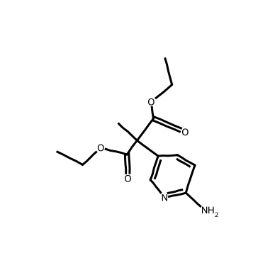 CCOC(=O)C(C)(C(=O)OCC)c1ccc(N)nc1